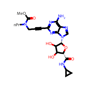 CCCN(CC#Cc1nc(N)c2ncn([C@@H]3O[C@H](C(=O)NC4CC4)C(O)C3O)c2n1)C(=O)OC